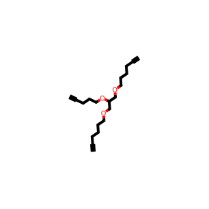 C#CCCCCOCC(COCCCCC#C)OCCCC#C